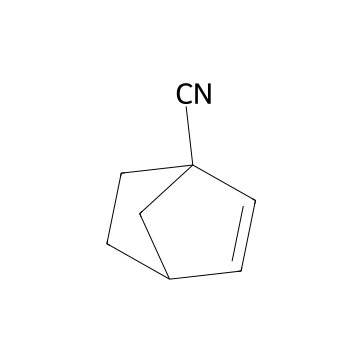 N#CC12C=CC(CC1)C2